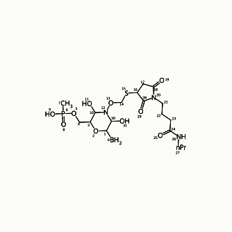 BC1OC(COP(C)(=O)O)C(O)N(OCSC2CC(=O)N(CCCC(=O)NCCC)C2=O)C1O